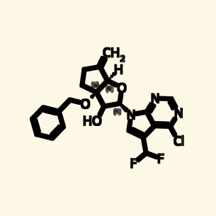 C=C1CC[C@]2(OCc3ccccc3)C(O)[C@H](n3cc(C(F)F)c4c(Cl)ncnc43)O[C@H]12